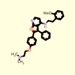 COc1ccccc1CCNc1ccnc2oc(-c3ccc(OCCN(C)C)cc3)c(-c3ccccc3)c12